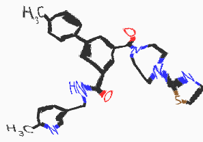 Cc1ccc(-c2cc(C(=O)NCc3ccc(C)nc3)cc(C(=O)N3CCN(c4nccs4)CC3)c2)cc1